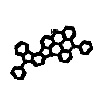 c1ccc(N2c3cccc4c3B3c5c2cccc5-n2c5ccc6c(c7ccccc7n6-c6ccccc6)c5c5ccc(c3c52)N4)cc1